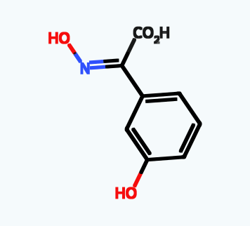 O=C(O)C(=NO)c1cccc(O)c1